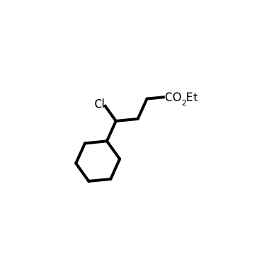 CCOC(=O)CCC(Cl)C1CCCCC1